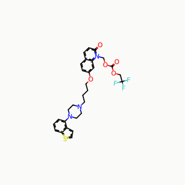 O=C(OCn1c(=O)ccc2ccc(OCCCCN3CCN(c4cccc5sccc45)CC3)cc21)OCC(F)(F)F